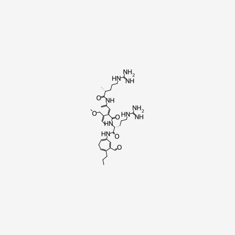 C=C(/C=C(C(=O)N[C@H](CCCNC(=N)N)C(=O)NC1=CCC=C(CCC)C(C=O)=C1)\C(=C/C)COC)NC(=O)[C@H](C)CCCNC(=N)N